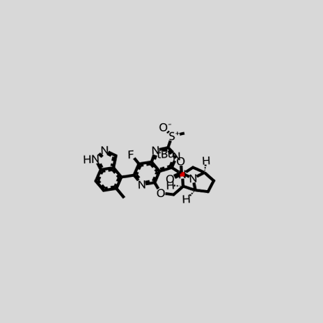 Cc1ccc2[nH]ncc2c1-c1nc2c3c(nc([S+](C)[O-])nc3c1F)N1C[C@H]3CC[C@@H]([C@H]1CO2)N3C(=O)OC(C)(C)C